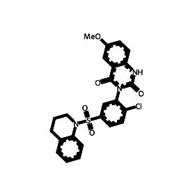 COc1ccc2[nH]c(=O)n(-c3cc(S(=O)(=O)N4CCCc5ccccc54)ccc3Cl)c(=O)c2c1